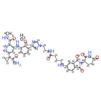 CNC(=O)c1nnc(C2(C(N)=O)CC2)cc1Nc1cccc(-c2ncn(CCNC(=O)CCCNc3ccc4c(c3)C(=O)N(C3CCC(=O)NC3=O)C4=O)n2)c1OC